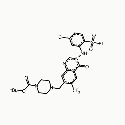 CCS(=O)(=O)c1ccc(Cl)cc1Nn1cnc2cc(CN3CCN(C(=O)OC(C)(C)C)CC3)c(C(F)(F)F)cc2c1=O